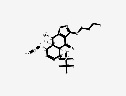 CCCCOc1noc2c1C(=O)[C@@]1(O[Si](C)(C)C(C)(C)C)C(=O)C=C[C@H](N=[N+]=[N-])[C@H]1[C@@H]2N